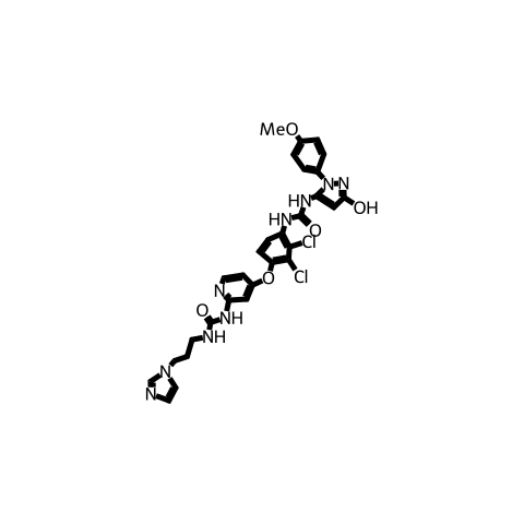 COc1ccc(-n2nc(O)cc2NC(=O)Nc2ccc(Oc3ccnc(NC(=O)NCCCn4ccnc4)c3)c(Cl)c2Cl)cc1